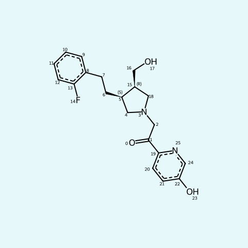 O=C(CN1C[C@@H](CCc2ccccc2F)[C@@H](CO)C1)c1ccc(O)cn1